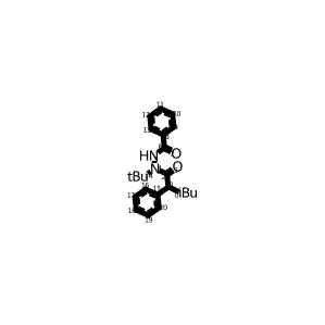 CCC(C)C(C(=O)N(NC(=O)c1ccccc1)C(C)(C)C)c1ccccc1